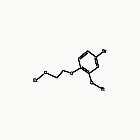 CCOCCOc1ccc(Br)cc1OCC